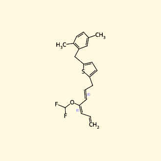 C=C/C=C(\C=C\Cc1ccc(Cc2cc(C)ccc2C)s1)OC(F)F